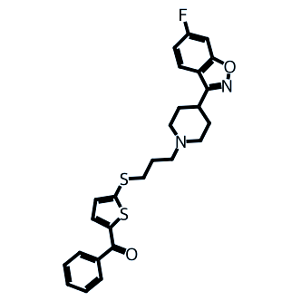 O=C(c1ccccc1)c1ccc(SCCCN2CCC(c3noc4cc(F)ccc34)CC2)s1